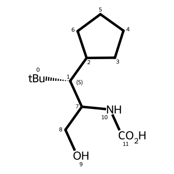 CC(C)(C)[C@H](C1CCCC1)C(CO)NC(=O)O